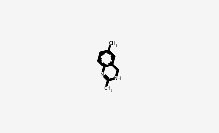 CC1=Nc2ccc(C)cc2CN1